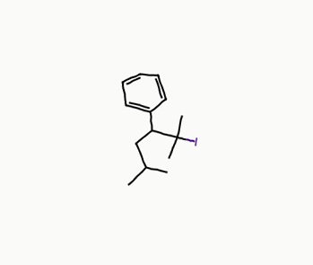 CC(C)CC(c1ccccc1)C(C)(C)I